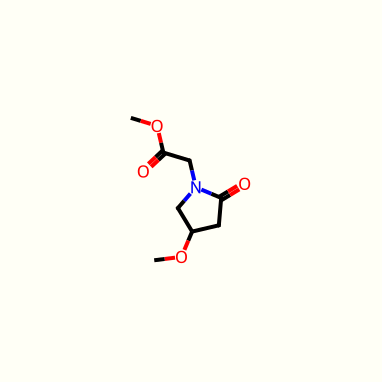 COC(=O)CN1CC(OC)CC1=O